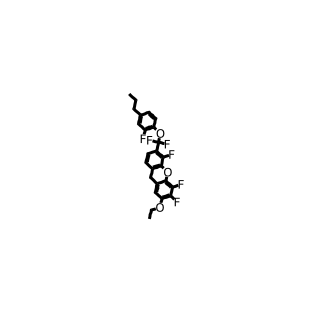 CCCc1ccc(OC(F)(F)c2ccc3c(c2F)Oc2c(cc(OCC)c(F)c2F)C3)c(F)c1